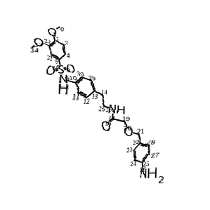 COc1ccc(S(=O)(=O)Nc2ccc(CCNC(=O)COCc3ccc(N)cc3)cc2)cc1OC